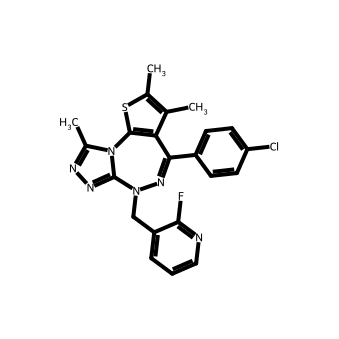 Cc1sc2c(c1C)C(c1ccc(Cl)cc1)=NN(Cc1cccnc1F)c1nnc(C)n1-2